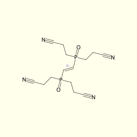 N#CCCP(=O)(/C=C/P(=O)(CCC#N)CCC#N)CCC#N